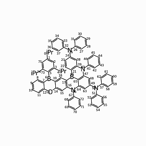 CC(C)c1cc(C(C)C)c(B2c3ccccc3Oc3cc4c(cc32)B2c3ccc(N(c5ccccc5)c5ccccc5)cc3N(c3ccccc3)c3cc(N(c5ccccc5)c5ccccc5)cc(c32)N4c2ccccc2)c(C(C)C)c1